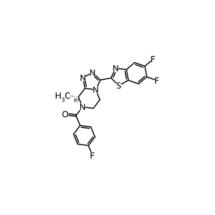 C[C@@H]1c2nnc(-c3nc4cc(F)c(F)cc4s3)n2CCN1C(=O)c1ccc(F)cc1